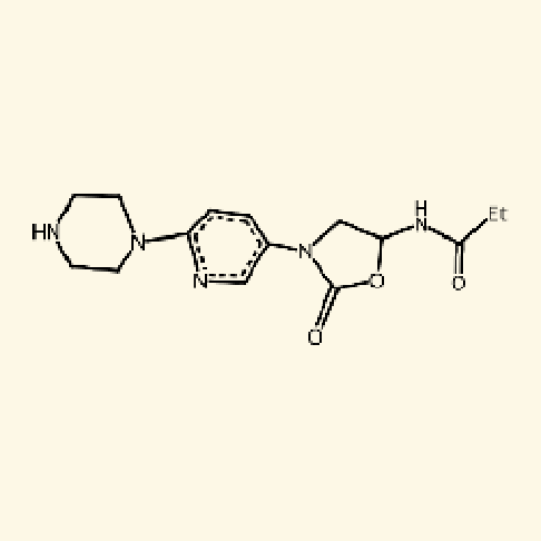 CCC(=O)NC1CN(c2ccc(N3CCNCC3)nc2)C(=O)O1